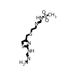 CS(=O)(=O)NC=NCCSCc1csc(NC=NN)n1